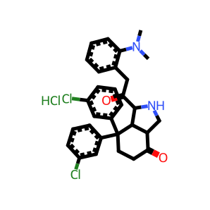 CN(C)c1ccccc1CC(=O)C1NCC2C(=O)CCC(c3cccc(Cl)c3)(c3cccc(Cl)c3)C21.Cl